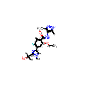 Cc1[nH]nc(C(F)(F)F)c1NC(=O)c1cc(F)c(-c2cn(C)c(C(C)(C)O)n2)cc1OCC(F)(F)F